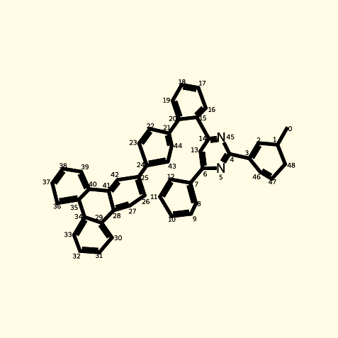 CC1C=C(c2nc(-c3ccccc3)cc(-c3ccccc3-c3ccc(-c4ccc5c6ccccc6c6ccccc6c5c4)cc3)n2)C=CC1